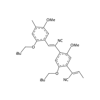 [C-]#[N+]/C(=C\c1cc(OC)c(C)cc1OCC(C)CC)c1cc(OCC(C)CC)c(/C(C#N)=C/C)cc1OC